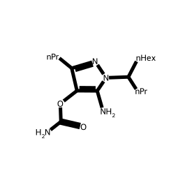 CCCCCCC(CCC)n1nc(CCC)c(OC(N)=O)c1N